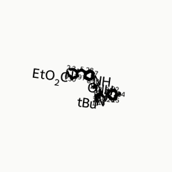 CCOC(=O)N1CCC(Cc2ccc(NC(=O)Nc3cc(C(C)(C)C)nn3-c3ccc(C)cc3)cc2)CC1